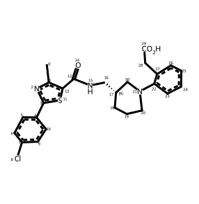 Cc1nc(-c2ccc(Cl)cc2)sc1C(=O)NC[C@H]1CCCN(c2ccccc2CC(=O)O)C1